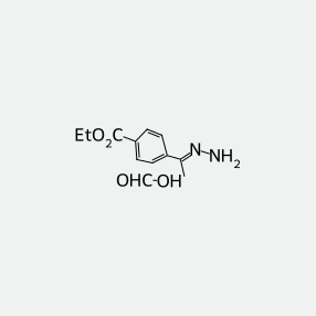 CCOC(=O)c1ccc(C(C)=NN)cc1.O=CO